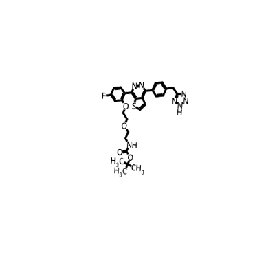 CC(C)(C)OC(=O)NCCOCCOc1cc(F)ccc1-c1nnc(-c2ccc(Cc3nn[nH]n3)cc2)c2ccsc12